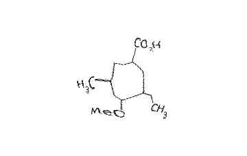 COC1C(C)CC(C(=O)O)CC1C